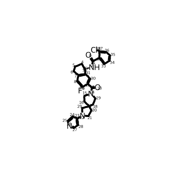 O=C(N[C@@H]1CCCc2cc(F)c(C(=O)N3CCC4(CC3)CCN(c3ccncc3)C4)cc21)c1ccccc1Cl